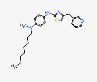 CCCCCCCCN(C)c1ccc(Nc2nc(Cc3cccnc3)cs2)cc1